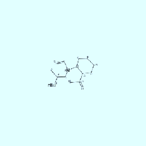 C=CN(CC(C)CCCC)C1CCCCC1C(=C)C